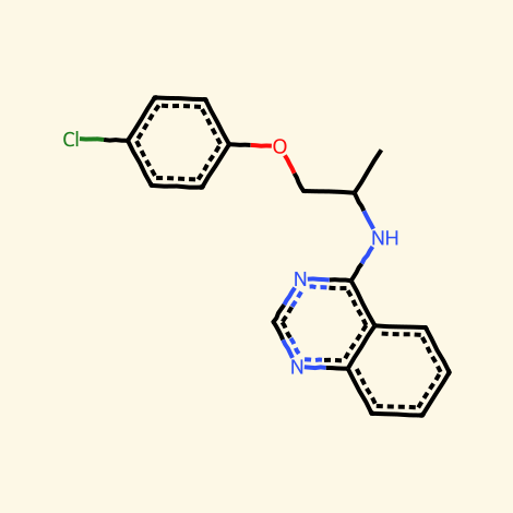 CC(COc1ccc(Cl)cc1)Nc1ncnc2ccccc12